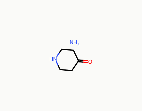 N.O=C1CCNCC1